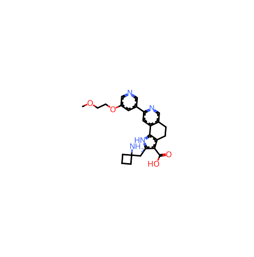 COCCOc1cncc(-c2cc3c(cn2)CCc2c-3[nH]c(CC3(N)CCC3)c2C(=O)O)c1